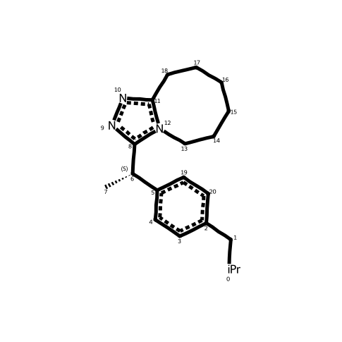 CC(C)Cc1ccc([C@H](C)c2nnc3n2CCCCCC3)cc1